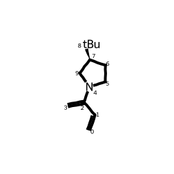 C=CC(=C)N1CC[C@H](C(C)(C)C)C1